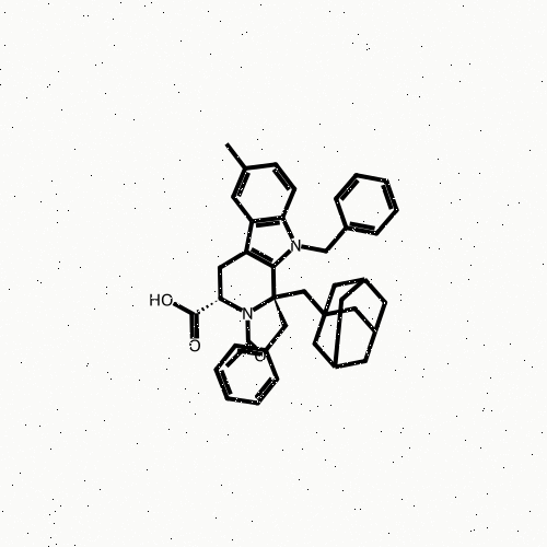 CC(=O)N1[C@H](C(=O)O)Cc2c(n(Cc3ccccc3)c3ccc(C)cc23)[C@]1(Cc1ccccc1)CC12CC3CC(CC(C3)C1)C2